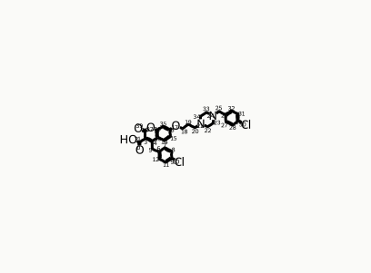 O=C(O)c1c(Cc2ccc(Cl)cc2)c2ccc(OCCCN3CCN(Cc4ccc(Cl)cc4)CC3)cc2oc1=O